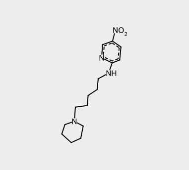 O=[N+]([O-])c1ccc(NCCCCCN2CCCCC2)nc1